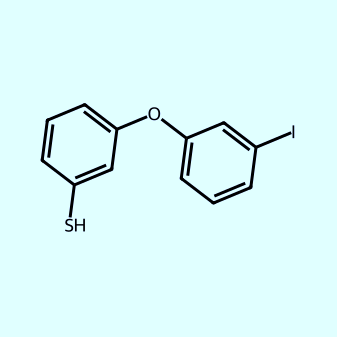 Sc1cccc(Oc2cccc(I)c2)c1